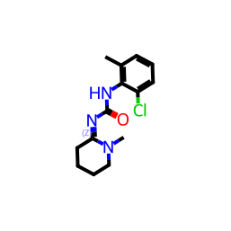 Cc1cccc(Cl)c1NC(=O)/N=C1/CCCCN1C